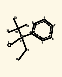 CC[Si](Cl)(c1ccccc1)C(C)(C)C